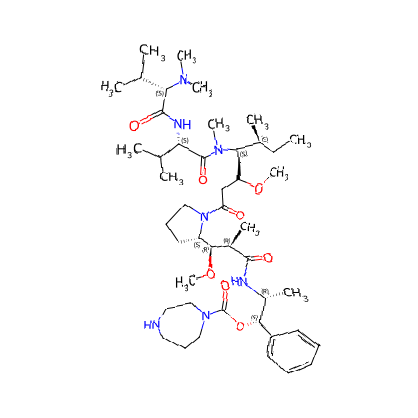 CC[C@H](C)[C@@H](C(CC(=O)N1CCC[C@H]1[C@H](OC)[C@@H](C)C(=O)N[C@H](C)[C@@H](OC(=O)N1CCCNCC1)c1ccccc1)OC)N(C)C(=O)[C@@H](NC(=O)[C@H](C(C)C)N(C)C)C(C)C